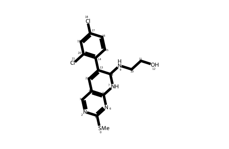 CSc1ncc2c(n1)NC(NCCO)C(c1ccc(Cl)cc1Cl)=C2